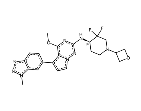 COc1nc(N[C@@H]2CCN(C3COC3)CC2(F)F)nn2ccc(-c3ccc4nnn(C)c4c3)c12